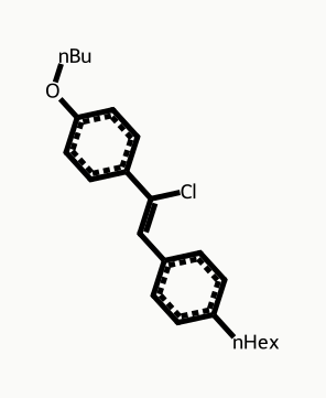 CCCCCCc1ccc(C=C(Cl)c2ccc(OCCCC)cc2)cc1